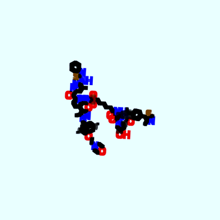 Cc1cc(C(=O)c2ccc(-c3cnn(CC45CC6(OCCN7CCOCC7)C[C@](C)(C4)C[C@](C)(C5)C6)c3C)c(C(=O)NS(=O)(=O)CCCCCC(=O)N[C@H](C(=O)N3C[C@@H](O)C[C@H]3C(=O)N[C@@H](C)c3ccc(-c4scnc4C)cc3)C(C)(C)C)n2)nnc1Nc1nc2ccccc2s1